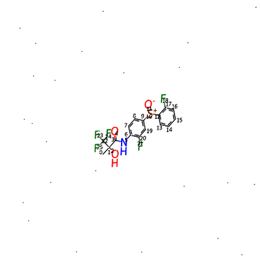 CC(O)(C(=O)Nc1ccc([S+]([O-])c2ccccc2F)cc1F)C(F)(F)F